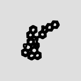 c1ccc2c(c1)Oc1ccccc1C21c2cc(N(c3ccc4c(c3)sc3cc5ccccc5cc34)c3cccc4ccccc34)ccc2-c2cccc3cccc1c23